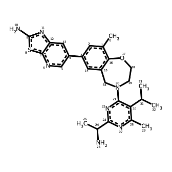 Cc1cc(-c2cnc3sc(N)nc3c2)cc2c1OCCN(c1nc(C(C)N)nc(C)c1C(C)C)C2